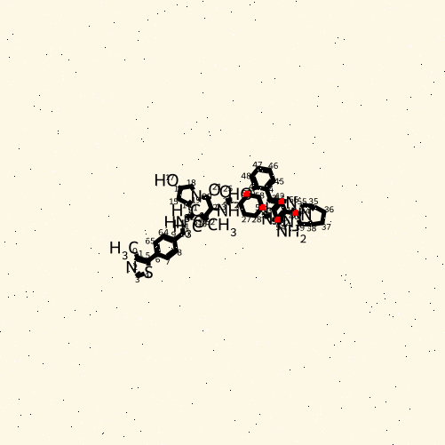 Cc1ncsc1-c1ccc(CNC(=O)[C@@H]2C[C@@H](O)CN2C(=O)[C@@H](NC(=O)[C@H]2CC[C@@H](c3cnc(N4C5CCC4CN(c4cc(-c6ccccc6O)nnc4N)C5)nc3)CC2)C(C)(C)C)cc1